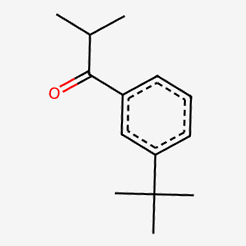 CC(C)C(=O)c1cccc(C(C)(C)C)c1